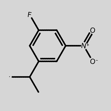 [CH2]C(C)c1cc(F)cc([N+](=O)[O-])c1